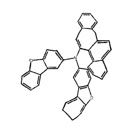 C1=c2oc3ccc(N(c4ccc5oc6ccccc6c5c4)c4cc5ccccc5c5ccc6ccccc6c45)cc3c2=CCC1